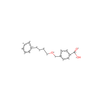 O=C(O)c1ccc(COCCCCc2ccccc2)cc1